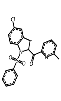 Cc1cccc(C(=O)C2[CH]c3cc(Cl)ccc3N2S(=O)(=O)c2ccccc2)n1